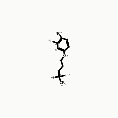 N#Cc1ccc(OCCCC(F)(F)C(F)(F)F)cc1F